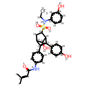 CC(C)=CC(=O)Nc1ccc(C2=C(c3ccc(O)cc3)C3C(O)C2CC3S(=O)(=O)N(CC(F)(F)F)c2cccc(O)c2)cc1